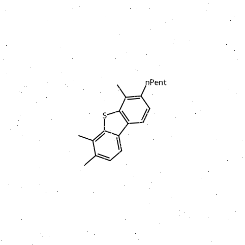 CCCCCc1ccc2c(sc3c(C)c(C)ccc32)c1C